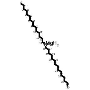 CCCCCCCCCCCCCCCNCCCCCCCCCCCCCCC.[MgH2]